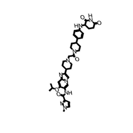 CC(C)Oc1cc2nc(C3CCN(CC(=O)N4CCC(c5ccc(NC6CCC(=O)NC6=O)cc5)CC4)CC3)cn2cc1NC(=O)c1ccn(C)n1